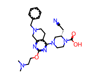 CN(C)CCOc1nc2c(c(N3CCN(C(=O)O)[C@@H](CC#N)C3)n1)CCN(Cc1ccccc1)C2